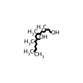 CC(C)=CCC/C(C)=C(\CO)CC(C)=CCC/C(C)=C\CO